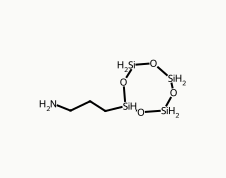 NCCC[SiH]1O[SiH2]O[SiH2]O[SiH2]O1